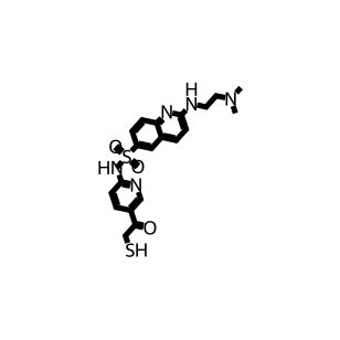 CN(C)CCNc1ccc2cc(S(=O)(=O)Nc3ccc(C(=O)CS)cn3)ccc2n1